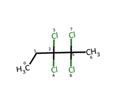 CCC(Cl)(Cl)C(C)(Cl)Cl